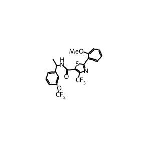 COc1ccccc1-c1nc(C(F)(F)F)c(C(=O)NC(C)c2cccc(OC(F)(F)F)c2)s1